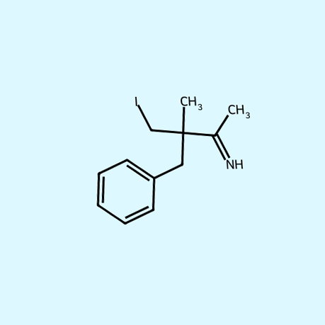 CC(=N)C(C)(CI)Cc1ccccc1